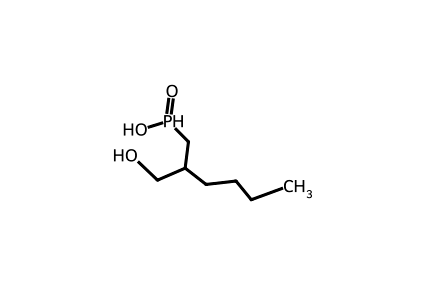 CCCCC(CO)C[PH](=O)O